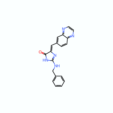 O=C1NC(NCc2ccccc2)=N/C1=C\c1ccc2nccnc2c1